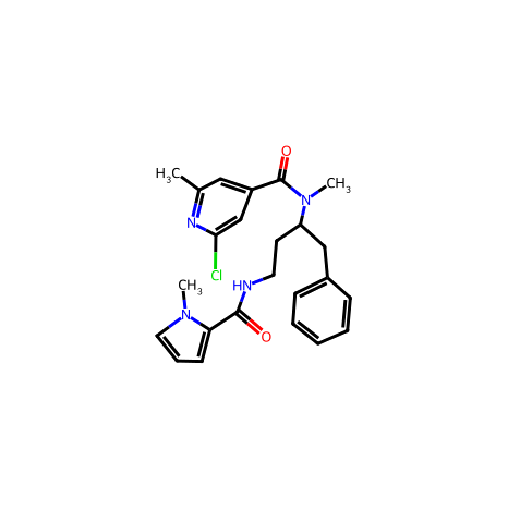 Cc1cc(C(=O)N(C)C(CCNC(=O)c2cccn2C)Cc2ccccc2)cc(Cl)n1